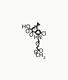 COC(=O)CCOCCNc1cc2c(=O)c(C(=O)O)cn(C3CC3)c2cc1Cl